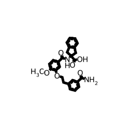 COc1ccc(C(=O)NC2(C(=O)O)Cc3ccccc3C2)cc1OCCc1cccc(C(N)=O)c1